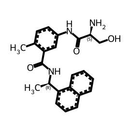 Cc1ccc(NC(=O)[C@@H](N)CO)cc1C(=O)N[C@H](C)c1cccc2ccccc12